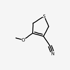 COC1=C(C#N)CSC1